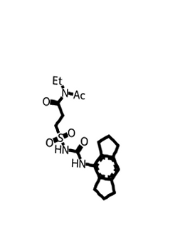 CCN(C(C)=O)C(=O)CCS(=O)(=O)NC(=O)Nc1c2c(cc3c1CCC3)CCC2